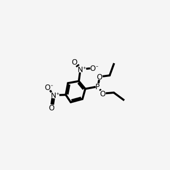 CCOP(OCC)c1ccc([N+](=O)[O-])cc1[N+](=O)[O-]